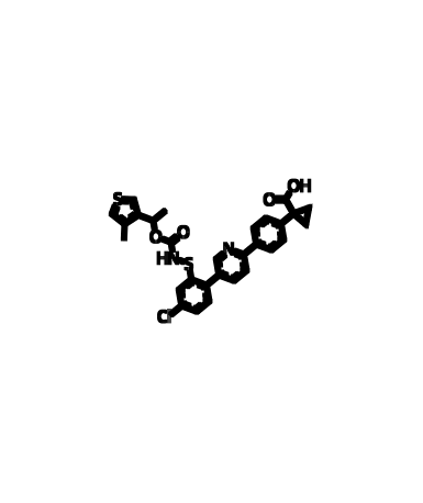 Cc1cscc1C(C)OC(=O)NSc1cc(Cl)ccc1-c1ccc(-c2ccc(C3(C(=O)O)CC3)cc2)nc1